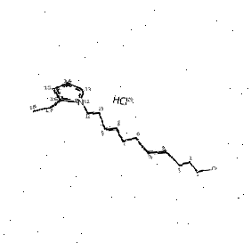 CCCCCCCCCCCCn1cccc1CC.Cl